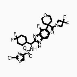 O=C(N1CC(F)(F)C1)C1(c2ccc3[nH]c([C@@H](NS(=O)(=O)c4cnc(Cl)s4)C4CCC(F)(F)CC4)nc3c2F)CCOCC1